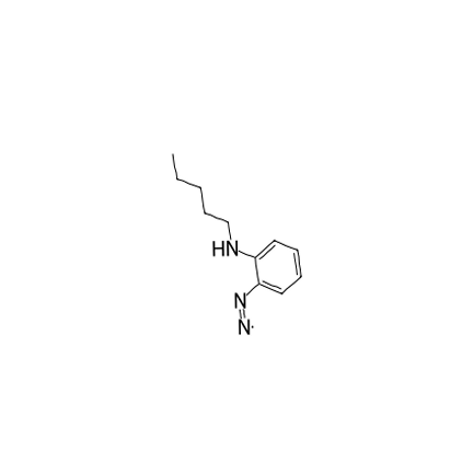 CCCCCNc1ccccc1N=[N]